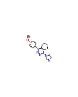 CCOc1ccc(-c2nnc(-n3ccnc3)c3ccccc23)cc1